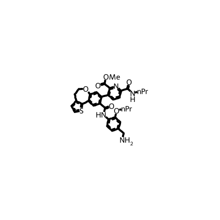 CCCNC(=O)c1ccc(-c2cc3c(cc2C(=O)Nc2ccc(CN)cc2OCCC)-c2sccc2CCO3)c(C(=O)OC)n1